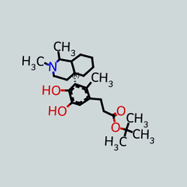 Cc1c(CCC(=O)OC(C)(C)C)cc(O)c(O)c1[C@@]12CCCCC1C(C)N(C)CC2